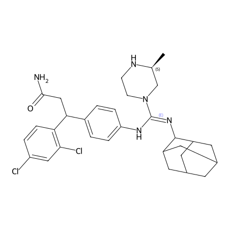 C[C@H]1CN(/C(=N/C2C3CC4CC(C3)CC2C4)Nc2ccc(C(CC(N)=O)c3ccc(Cl)cc3Cl)cc2)CCN1